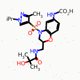 Cc1nn(C(C)C)cc1S(=O)(=O)N1CC(CNC(=O)C(C)(C)O)Oc2ccc(NC(=O)O)cc21